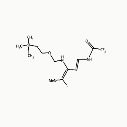 CN/C(F)=C(/C=C/NC(=O)C(F)(F)F)NCOCC[Si](C)(C)C